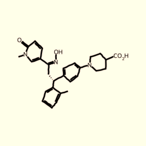 Cc1ccccc1[C@H](CC(=NO)c1ccc(=O)n(C)c1)c1ccc(N2CCC(C(=O)O)CC2)cc1